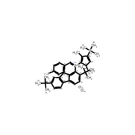 CC1=[C](/[Zr+2](=[CH]/c2ccc(F)cc2)[c]2c(C(C)(C)C)ccc3c2Cc2cc(C(C)(C)C)ccc2-3)C(C)C=C1[Si](C)(C)C.[Cl-].[Cl-]